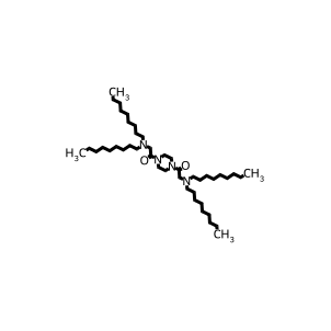 CCCCCCCCCN(CCCCCCCCC)CC(=O)N1CCN(C(=O)CN(CCCCCCCCC)CCCCCCCCC)CC1